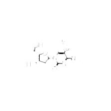 Nc1nc(=O)n([C@H]2C[C@H](O)[C@@H](CO)O2)cc1OBr